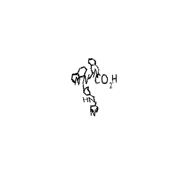 O=C(O)N1Cc2ccccc2CC1CN(Cc1ccc(CNCc2ccncc2)cc1)C1CCCc2cccnc21